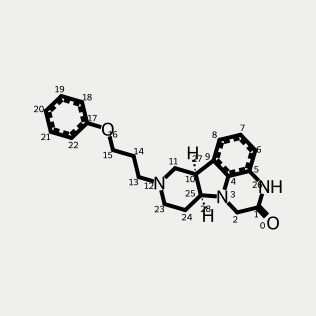 O=C1CN2c3c(cccc3[C@@H]3CN(CCCOc4ccccc4)CC[C@@H]32)N1